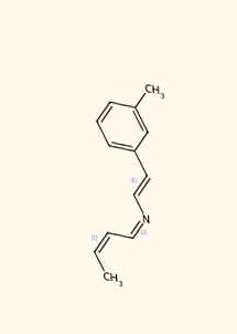 C\C=C/C=N\C=C\c1cccc(C)c1